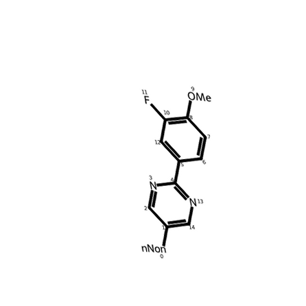 CCCCCCCCCc1cnc(-c2ccc(OC)c(F)c2)nc1